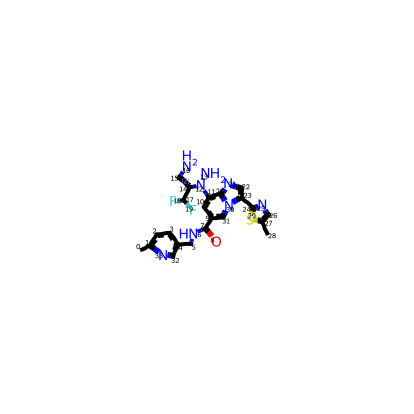 Cc1ccc(CNC(=O)c2cc(N(N)/C(=C\N)C(F)F)c3ncc(-c4ncc(C)s4)n3c2)cn1